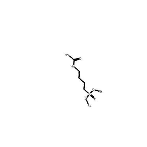 CCCC(=O)NCCCCP(=O)(OCC)OCC